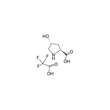 O=C(O)C(F)(F)F.O=C(O)[C@@H]1C[C@@H](O)CN1